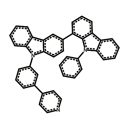 c1ccc(-n2c3ccccc3c3cccc(-c4ccc5c(c4)c4ccccc4n5-c4cccc(-c5ccncc5)c4)c32)cc1